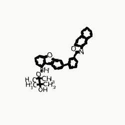 CC(C)(O)C(C)(C)OBc1cccc2oc3cc(-c4cccc(-c5nc6cc7ccccc7cc6o5)c4)ccc3c12